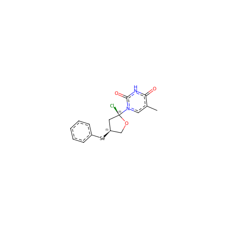 Cc1cn([C@@]2(Cl)C[C@H]([Se]c3ccccc3)CO2)c(=O)[nH]c1=O